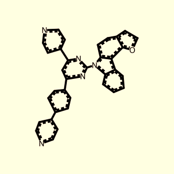 c1ccc2c(c1)c1c3occc3ccc1n2-c1nc(-c2ccncc2)cc(-c2ccc(-c3ccncc3)cc2)n1